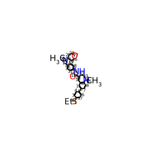 CCSc1ccc(-c2ccc3c(c2)C=C(C(=O)Nc2ccc(CN(C)C4CCOCC4)cc2)CCN3C)cc1